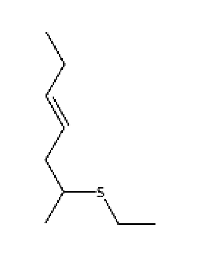 CCC=CCC(C)SCC